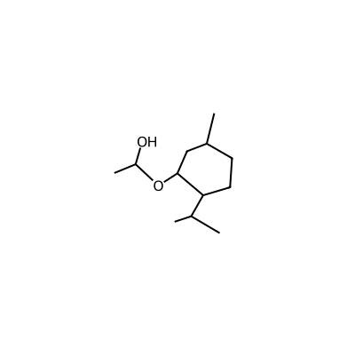 CC1CCC(C(C)C)C(OC(C)O)C1